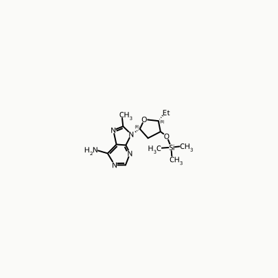 CC[C@H]1O[C@@H](n2c(C)nc3c(N)ncnc32)CC1O[Si](C)(C)C